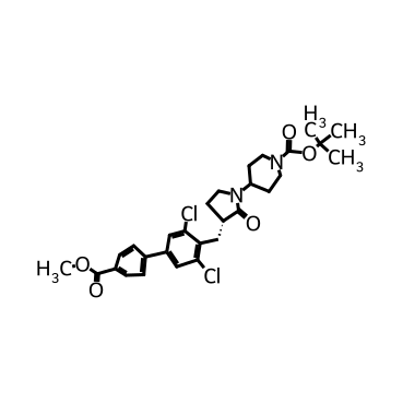 COC(=O)c1ccc(-c2cc(Cl)c(C[C@@H]3CCN(C4CCN(C(=O)OC(C)(C)C)CC4)C3=O)c(Cl)c2)cc1